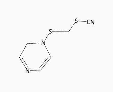 N#CSCSN1C=CN=CC1